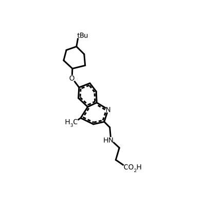 Cc1cc(CNCCC(=O)O)nc2ccc(OC3CCC(C(C)(C)C)CC3)cc12